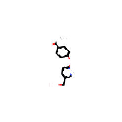 COC(=O)c1ccc(Oc2ccc(CO)cn2)cc1